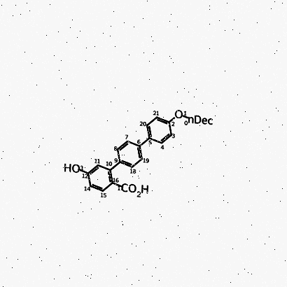 CCCCCCCCCCOc1ccc(-c2ccc(-c3cc(O)ccc3C(=O)O)cc2)cc1